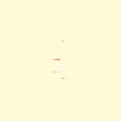 CC(=O)C(C)NC(=O)OCC(C)(C)C